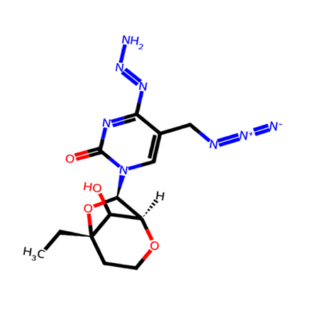 CC[C@]12CCO[C@@H](C1O)[C@H](n1cc(CN=[N+]=[N-])c(N=NN)nc1=O)O2